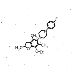 CCOc1c(C)c(N2CCN(c3ccc(F)cc3)CC2)c(C)c2c1OC(C)C2